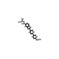 CCC(O)CNc1ccc2nc(-c3ccc(-c4ccc(NC)nc4)nc3)sc2c1